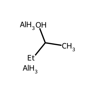 CCC(C)O.[AlH3].[AlH3]